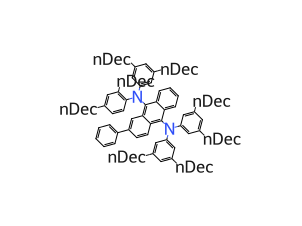 CCCCCCCCCCc1cc(CCCCCCCCCC)cc(N(c2cc(CCCCCCCCCC)cc(CCCCCCCCCC)c2)c2c3ccccc3c(N(c3cc(CCCCCCCCCC)cc(CCCCCCCCCC)c3)c3ccc(CCCCCCCCCC)cc3CCCCCCCCCC)c3cc(-c4ccccc4)ccc23)c1